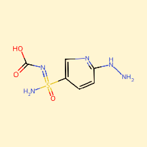 NNc1ccc(S(N)(=O)=NC(=O)O)cn1